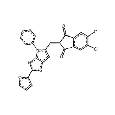 O=C1C(=Cc2cc3sc(-c4ccco4)nc3n2-c2ccccc2)C(=O)c2cc(Cl)c(Cl)cc21